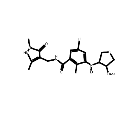 CCN(c1cc(Cl)cc(C(=O)NCc2c(C)[nH]n(C)c2=O)c1C)C1COCC1OC